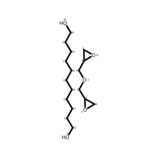 C(OCC1CO1)C1CO1.OCCCCCCCCCCCO